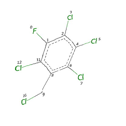 Fc1c(Cl)c(Cl)c(Cl)c(CCl)c1Cl